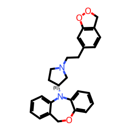 c1ccc2c(c1)COc1ccccc1N2[C@@H]1CCN(CCc2ccc3c(c2)OOC3)C1